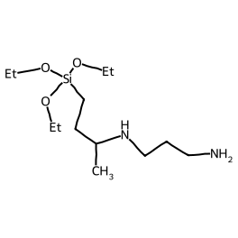 CCO[Si](CCC(C)NCCCN)(OCC)OCC